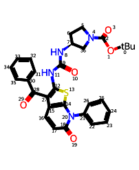 CC(C)(C)OC(=O)N1CC[C@H](NC(=O)Nc2sc3c(ccc(=O)n3-c3ccccc3)c2C(=O)c2ccccc2)C1